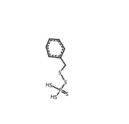 S=P(S)(S)SSCc1ccccc1